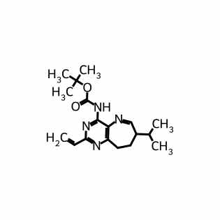 C=Cc1nc2c(c(NC(=O)OC(C)(C)C)n1)N=CC(C(C)C)CC2